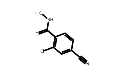 CNC(=O)c1ccc(C#N)cc1Cl